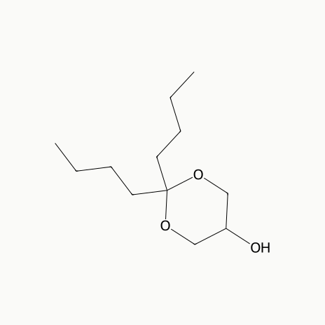 CCCCC1(CCCC)OCC(O)CO1